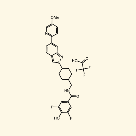 COc1ccc(-c2ccc3cn(C4CCC(CNC(=O)c5cc(F)c(O)c(F)c5)CC4)nc3c2)nc1.O=C(O)C(F)(F)F